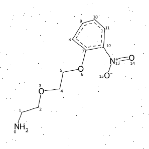 NCCOCCOc1ccccc1[N+](=O)[O-]